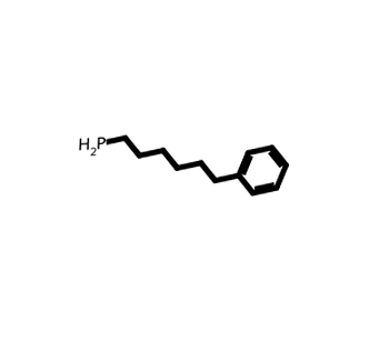 PCCCCCCc1ccccc1